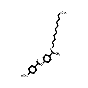 CCCCCCCCCCCCCCCCCCCCOC(C)c1ccc(OC(=O)c2ccc(CCCCCCCC)cc2)cc1